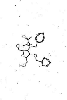 CC(=O)OC[C@@]1(CO)O[C@H](CO)[C@@H](OCc2ccccc2)[C@@H]1OCc1ccccc1